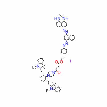 CCN1/C(=C/C=C2\CCCC(/C=C/C3=[N+](CC)c4ccccc4C3(C)C)=C2N2CCN(C(=O)CCC(=O)OCCc3ccc(/N=N/c4ccc(/N=N/c5ccc6c7c(cccc57)NC(C)(C)N6)c5ccccc45)cc3)CC2)C(C)(C)c2ccccc21.[I-]